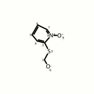 [O]CSc1cccc[n+]1[O-]